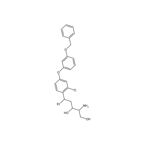 CCC(CC(O)C(N)CO)c1ccc(Oc2cccc(OCc3ccccc3)c2)cc1Cl